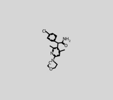 Cc1cc(N2CCOCC2)nc(C)c1C(C(N)=O)c1ccc(Cl)cc1